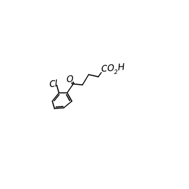 O=C(O)CCCC(=O)c1ccccc1Cl